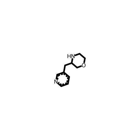 c1cncc(CC2COCCN2)c1